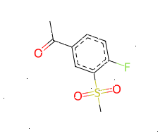 CC(=O)c1ccc(F)c(S(C)(=O)=O)c1